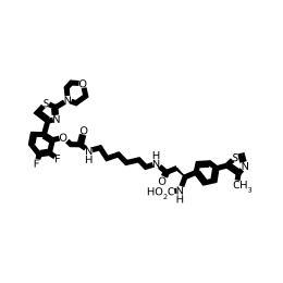 Cc1ncsc1-c1ccc([C@H](CC(=O)NCCCCCCNC(=O)COc2c(-c3csc(N4CCOCC4)n3)ccc(F)c2F)NC(=O)O)cc1